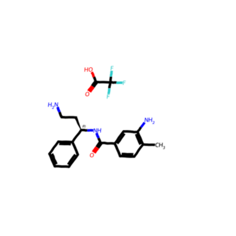 Cc1ccc(C(=O)N[C@H](CCN)c2ccccc2)cc1N.O=C(O)C(F)(F)F